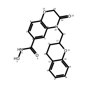 O=C(NO)c1ccc2c(c1)N(CC1CCc3ccccc3O1)C(=O)CO2